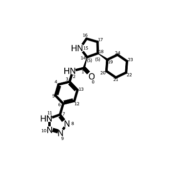 O=C(Nc1ccc(-c2nnn[nH]2)cc1)[C@H]1NCC[C@H]1C1CCCCC1